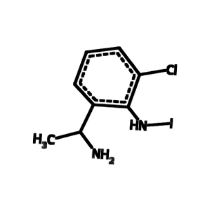 CC(N)c1cccc(Cl)c1NI